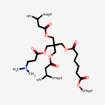 CCCCCCCOC(=O)CCCCC(=O)OCC(COC(=O)CCN(C)C)(COC(=O)CC(CCC)CCCCCCC)COC(=O)CC(CCC)CCCCCCC